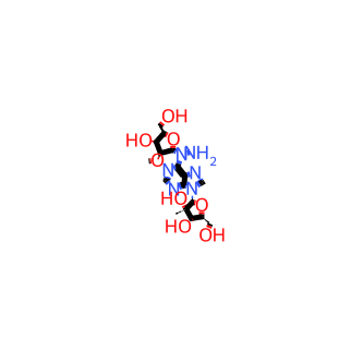 CO[C@H]1C(N(N)c2ncnc3c2ncn3[C@@H]2O[C@H](CO)[C@@H](O)[C@@]2(C)O)O[C@H](CO)[C@H]1O